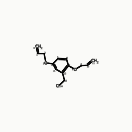 C=CCOc1ccc(OCC=C)c(CCl)c1